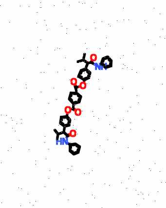 CC(C)C(C(=O)Nc1ccccc1)c1ccc(OC(=O)c2ccc(C(=O)Oc3ccc(C(C(=O)Nc4ccccc4)C(C)C)cc3)cc2)cc1